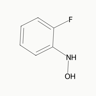 ONc1ccccc1F